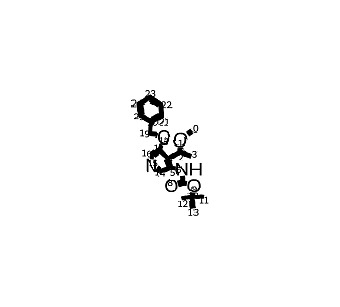 COC(C)c1c(NC(=O)OC(C)(C)C)cncc1OCc1ccccc1